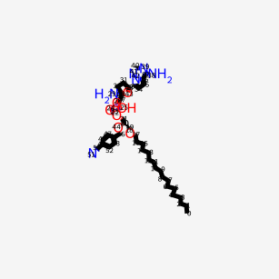 CCCCCCCCCCCCCCCCCCOC[C@H](COP(=O)(O)OC[C@]1(N)CC[C@H](c2ccc3c(N)ncnn23)O1)OCc1ccc(C#N)cc1